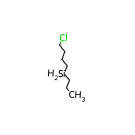 CCC[SiH2]CCCCCl